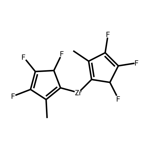 CC1=[C]([Zr][C]2=C(C)C(F)=C(F)C2F)C(F)C(F)=C1F